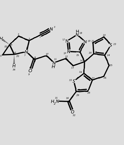 N#CC1C[C@@H]2C[C@@H]2N1C(=O)CNCCC1(c2nn[nH]n2)c2ccsc2CCc2cc(C(N)=O)sc21